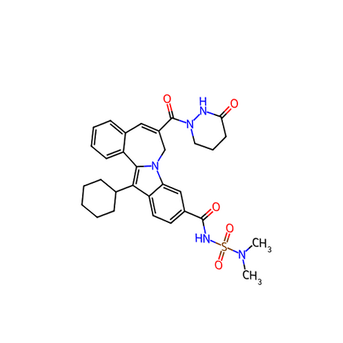 CN(C)S(=O)(=O)NC(=O)c1ccc2c(C3CCCCC3)c3n(c2c1)CC(C(=O)N1CCCC(=O)N1)=Cc1ccccc1-3